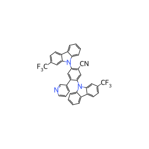 N#Cc1cc(-n2c3ccccc3c3ccc(C(F)(F)F)cc32)c(-c2cccnc2)cc1-n1c2ccccc2c2ccc(C(F)(F)F)cc21